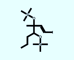 CCCC(O[Si](C)(C)C)C(C)(/C=C/I)O[Si](C)(C)C